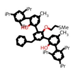 CSCCOc1c(-c2cc(C)cc(-c3c(C(C)C)cc(C(C)C)cc3C(C)C)c2O)cc(Cc2ccccc2)cc1-c1cc(C)cc(-c2c(C(C)C)cc(C(C)C)cc2C(C)C)c1O